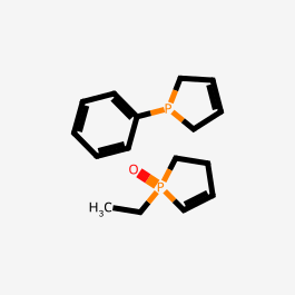 C1=CCP(c2ccccc2)C1.CCP1(=O)C=CCC1